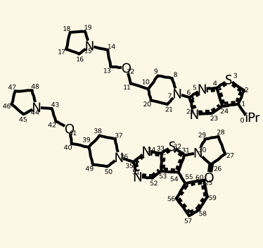 CC(C)c1csc2nc(N3CCC(COCCN4CCCC4)CC3)ncc12.O=C1CCCN1c1sc2nc(N3CCC(COCCN4CCCC4)CC3)ncc2c1-c1ccccc1